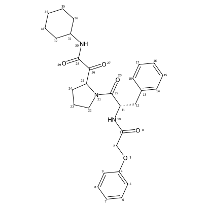 O=C(COc1ccccc1)N[C@@H](Cc1ccccc1)C(=O)N1CCCC1C(=O)C(=O)NC1CCCCC1